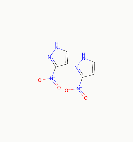 O=[N+]([O-])c1cc[nH]n1.O=[N+]([O-])c1cc[nH]n1